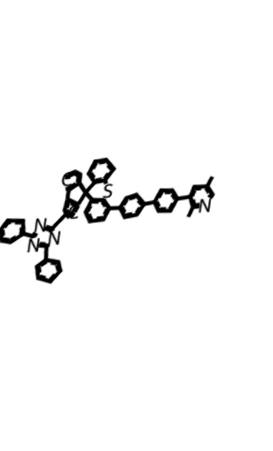 Cc1cnc(C)c(-c2ccc(-c3ccc(-c4cccc5c4Sc4ccccc4C54c5ccccc5-c5cc(-c6nc(-c7ccccc7)nc(-c7ccccc7)n6)ccc54)cc3)cc2)c1